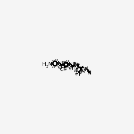 Cn1c(-c2cn(CC#N)nc2C(F)(F)F)cnc1C(=O)Nc1ccc(C(=O)NC2CCC(N)CC2)c(Cl)c1